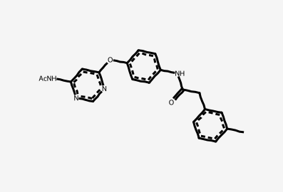 CC(=O)Nc1cc(Oc2ccc(NC(=O)Cc3cccc(C)c3)cc2)ncn1